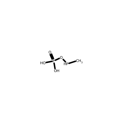 CPOP(=O)(O)O